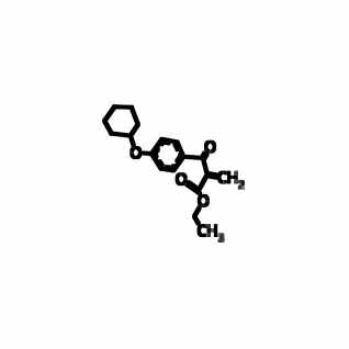 C=C(C(=O)OCC)C(=O)c1ccc(OC2CCCCC2)cc1